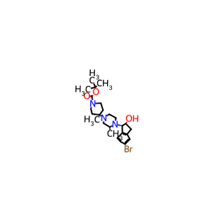 C[C@H]1CN(C2(C)CCN(C(=O)OC(C)(C)C)CC2)CCN1[C@@H]1c2ccc(Br)cc2C[C@@H]1O